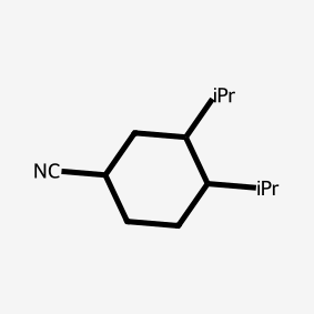 CC(C)C1CCC(C#N)CC1C(C)C